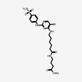 COC(=O)CCCNC(=O)CCCCCNc1nc(Nc2ccc(S(N)(=O)=O)cc2)ncc1Br